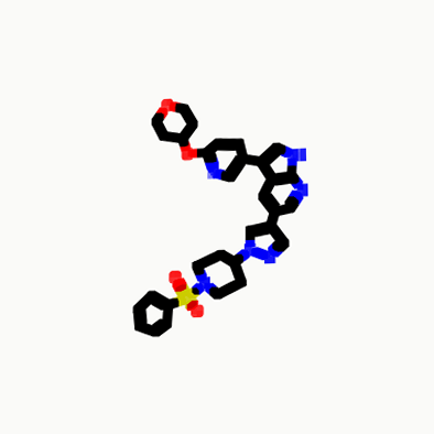 O=S(=O)(c1ccccc1)N1CCC(n2cc(-c3cnc4[nH]cc(-c5ccc(OC6CCOCC6)nc5)c4c3)cn2)CC1